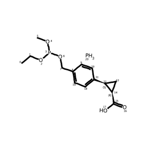 CCOP(OC)OCc1ccc([C@H]2C[C@H]2C(=O)O)cc1.P